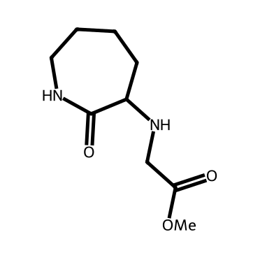 COC(=O)CNC1CCCCNC1=O